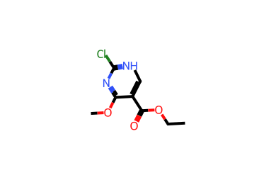 C/C=C(C(=O)OCC)\C(=N/C(=N)Cl)OC